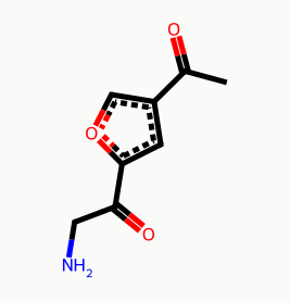 CC(=O)c1coc(C(=O)CN)c1